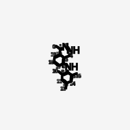 CC1=NNCc2c(Nc3c(C)cc(C)cc3C)cccc21